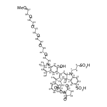 C=C(/C=C(/C=C1/N(CCCS(=O)(=O)O)c2ccc(S(=O)(=O)O)cc2C1(C)CCCC(=O)ON1C(=O)CCC1=O)c1cc2c(cc1O)N(CCOCCOCCOCCOCCOCCOC)C(C)(C)C=C2C)c1ccccc1